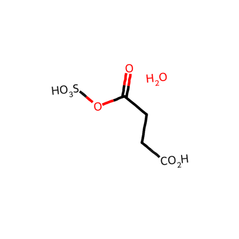 O.O=C(O)CCC(=O)OS(=O)(=O)O